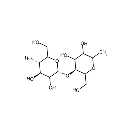 CC1OC(CO)[C@@H](O[C@H]2OC(CO)[C@@H](O)[C@H](O)C2O)C(O)C1O